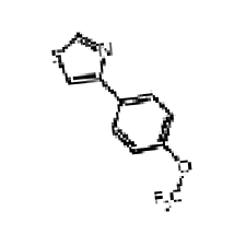 FC(F)(F)Oc1ccc(-c2cscn2)cc1